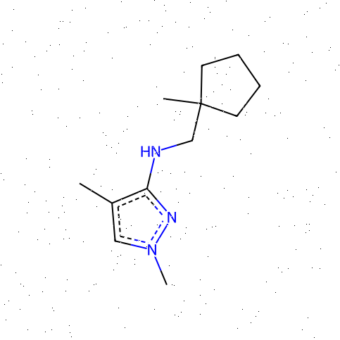 Cc1cn(C)nc1NCC1(C)CCCC1